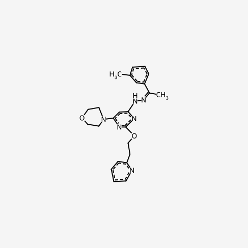 C/C(=N/Nc1cc(N2CCOCC2)nc(OCCc2ccccn2)n1)c1cccc(C)c1